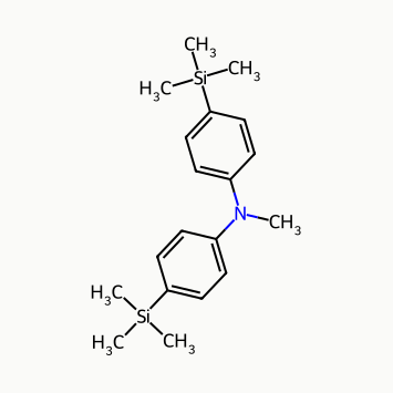 CN(c1ccc([Si](C)(C)C)cc1)c1ccc([Si](C)(C)C)cc1